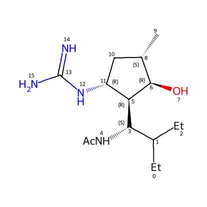 CCC(CC)[C@H](NC(C)=O)[C@@H]1[C@H](O)[C@@H](C)C[C@H]1NC(=N)N